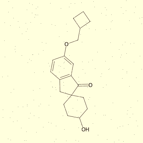 O=C1c2cc(OCC3CCC3)ccc2CC12CCC(O)CC2